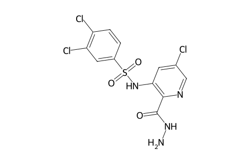 NNC(=O)c1ncc(Cl)cc1NS(=O)(=O)c1ccc(Cl)c(Cl)c1